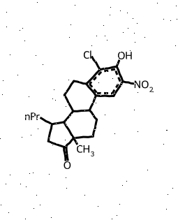 CCCC1CC(=O)C2(C)CCC3c4cc([N+](=O)[O-])c(O)c(Cl)c4CCC3C12